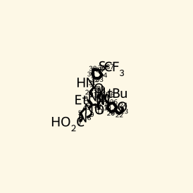 CCC1=C(N2CCN(C(=O)O)CC2)C(=O)N2C(=NC(C(C)(C)C)N2c2ccc3ccoc3c2)N1CC(=O)Nc1ccc(SC(F)(F)F)cc1